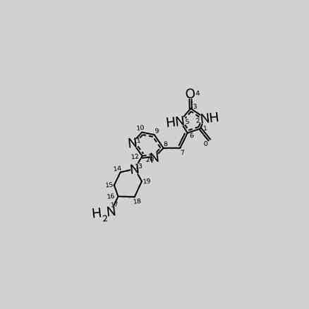 C=c1[nH]c(=O)[nH]/c1=C\c1ccnc(N2CCC(N)CC2)n1